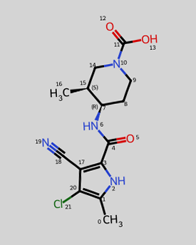 Cc1[nH]c(C(=O)N[C@@H]2CCN(C(=O)O)C[C@@H]2C)c(C#N)c1Cl